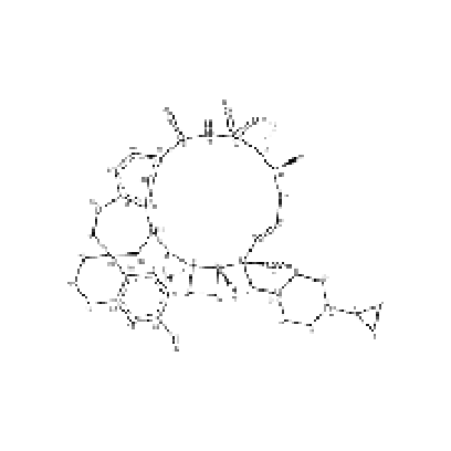 CO[C@]1(CN2CCN(C3CC3)CC2)/C=C/C[C@H](C)[C@@H](C)S(=O)(=O)NC(=O)c2ccc3c(c2)N(C[C@@H]2CC[C@H]21)C[C@@]1(CCCc2cc(Cl)ccc21)CO3